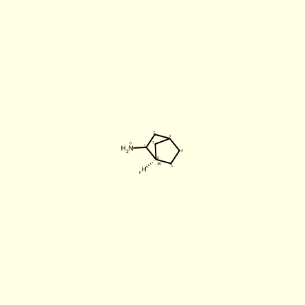 NC1CC2CC[C@@H]1C2